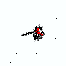 CCCCC/C=C/C=C/C12O[C@@H]3C4[C@@H]5O[C@]5(CO)[C@@H](O)[C@]5(O)C(=O)C(C)=C[C@H]5[C@@]4(O1)[C@H](COC(=O)C(C)C)[C@H](OC(=O)[C@@H](C)C(C)C)[C@]3([C@]1(C)CO1)O2